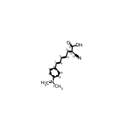 CN(C)c1ccc(/C=C/C=C/C=C(\C#N)C(=O)O)cc1